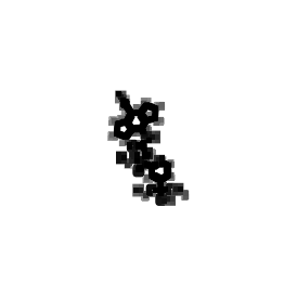 CC(C)(O)c1ccnc([S@@](N)(=O)=NC(=O)Nc2c3c(c(C#N)c4c2CCC4)CCC3)c1